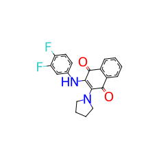 O=C1C(Nc2ccc(F)c(F)c2)=C(N2CCCC2)C(=O)c2ccccc21